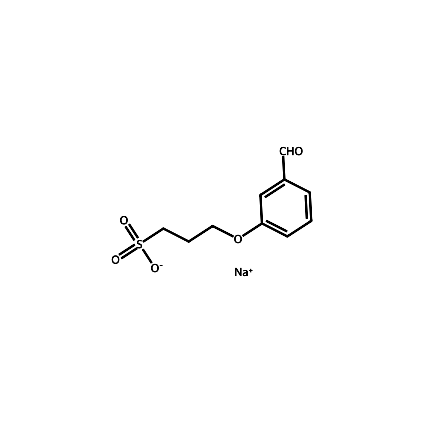 O=Cc1cccc(OCCCS(=O)(=O)[O-])c1.[Na+]